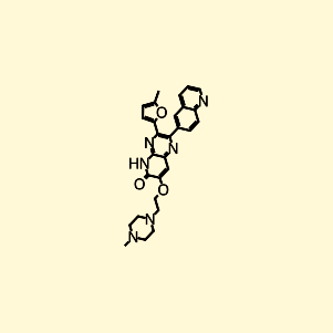 Cc1ccc(-c2nc3[nH]c(=O)c(OCCN4CCN(C)CC4)cc3nc2-c2ccc3ncccc3c2)o1